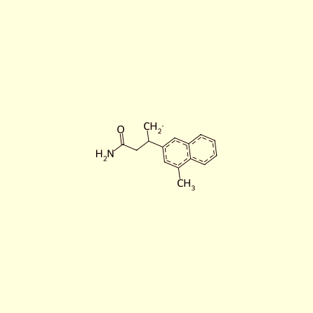 [CH2]C(CC(N)=O)c1cc(C)c2ccccc2c1